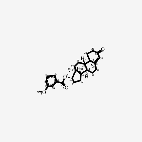 COc1cccc(C(=O)O[C@H]2CC[C@H]3[C@@H]4CCC5=CC(=O)CC[C@]5(C)[C@H]4CC[C@]23C)c1